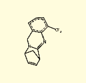 FC(F)(F)c1cccc2c1N=C1C3C=CC(C3)N1C2